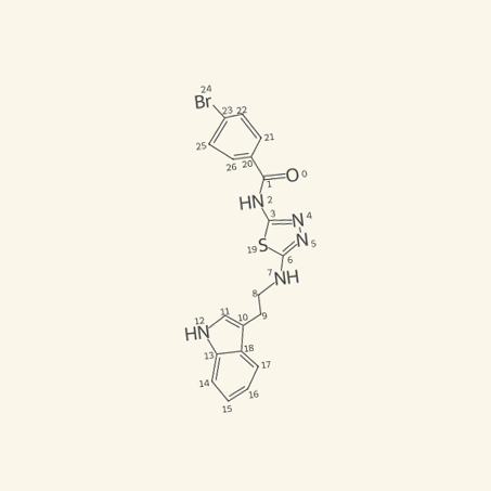 O=C(Nc1nnc(NCCc2c[nH]c3ccccc23)s1)c1ccc(Br)cc1